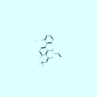 C=CCC1Oc2ccc(OC)c(OC)c2-c2ccc3c(c21)C(C)=CC(C)(C)N3